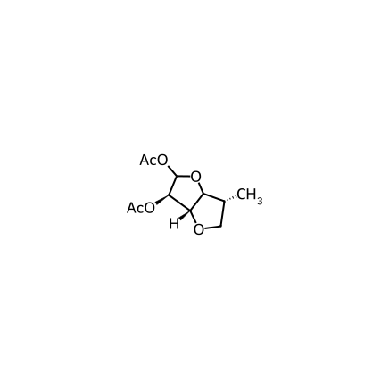 CC(=O)OC1OC2[C@H](C)CO[C@@H]2[C@H]1OC(C)=O